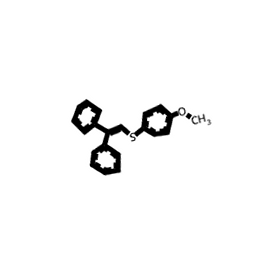 COc1ccc(SC=C(c2ccccc2)c2ccccc2)cc1